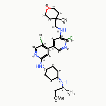 COC[C@@H](C)N[C@H]1CC[C@H](Nc2cc(-c3cnc(Cl)c(NCC4(C#N)CCOCC4)c3)c(Cl)cn2)CC1